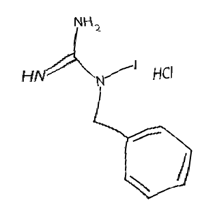 Cl.N=C(N)N(I)Cc1ccccc1